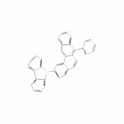 c1ccc(-c2c3ccccc3cc3c2ccc2ccc(-n4c5ccccc5c5ccccc54)cc23)cc1